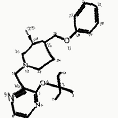 CC(C)(C)Oc1nccnc1CN1CCC(COc2ccccc2)[C@H](I)C1